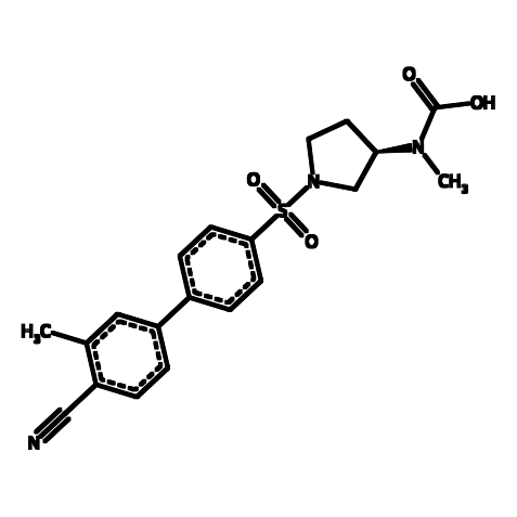 Cc1cc(-c2ccc(S(=O)(=O)N3CC[C@@H](N(C)C(=O)O)C3)cc2)ccc1C#N